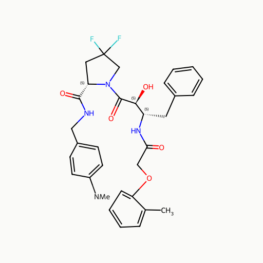 CNc1ccc(CNC(=O)[C@@H]2CC(F)(F)CN2C(=O)[C@@H](O)[C@H](Cc2ccccc2)NC(=O)COc2ccccc2C)cc1